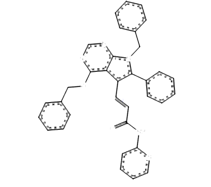 O=C(/C=C/c1c(-c2ccccc2)n(Cc2ccccc2)c2ncnc(OCc3ccccc3)c12)Nc1ccccn1